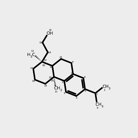 CC(C)c1ccc2c(c1)CCC1[C@](C)(CCO)CCC[C@]21C